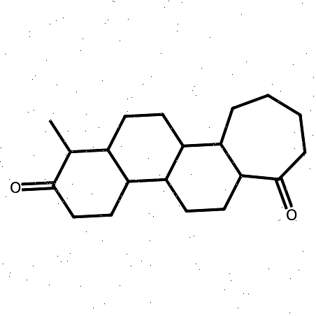 CC1C(=O)CCC2C1CCC1C3CCCCC(=O)C3CCC21